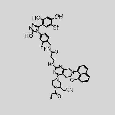 C=CC(=O)N1CCN(c2nc(NCCC(=O)NCc3ccc(-n4c(O)nnc4-c4cc(CC)c(O)cc4O)cc3F)nc3c2CCN(c2cccc4cccc(Cl)c24)C3)CC1CC#N